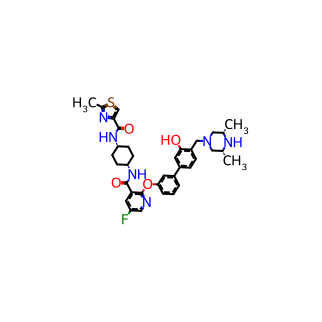 Cc1nc(C(=O)N[C@H]2CC[C@@H](NC(=O)c3cc(F)cnc3Oc3cccc(-c4ccc(CN5C[C@@H](C)N[C@@H](C)C5)c(O)c4)c3)CC2)cs1